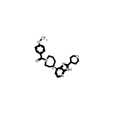 O=C(c1ccc(OC(F)(F)F)cc1)N1CCC[C@@H](c2ccnc3[nH]c(C4CCOCC4)nc23)CC1